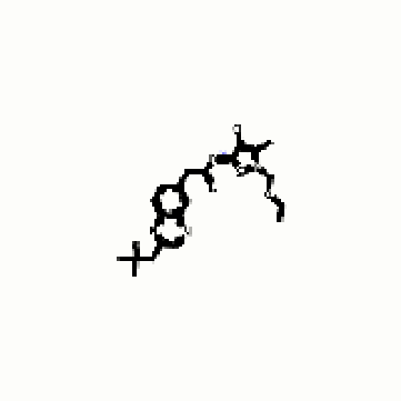 CCOCn1s/c(=N\C(=O)Cc2ccc3nc(CC(C)(C)C)cnc3c2)c(Cl)c1C